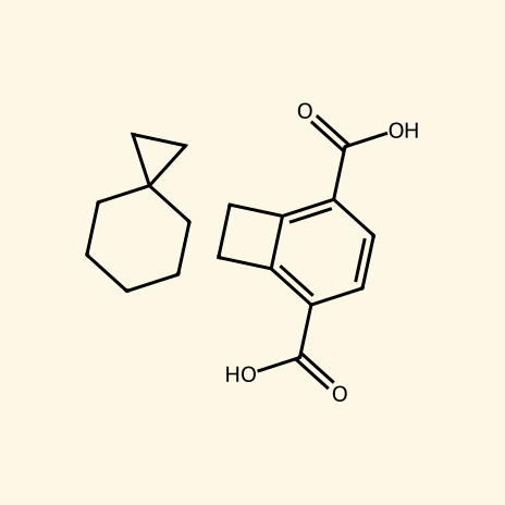 C1CCC2(CC1)CC2.O=C(O)c1ccc(C(=O)O)c2c1CC2